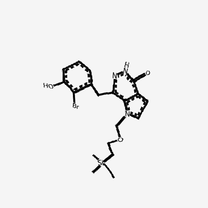 C[Si](C)(C)CCOCn1ccc2c(=O)[nH]nc(Cc3cccc(O)c3Br)c21